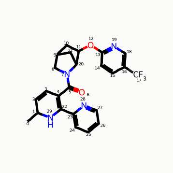 CC1C=CC(C(=O)N2CC3CC(Oc4ccc(C(F)(F)F)cn4)C2C3)=C(c2ccccn2)N1